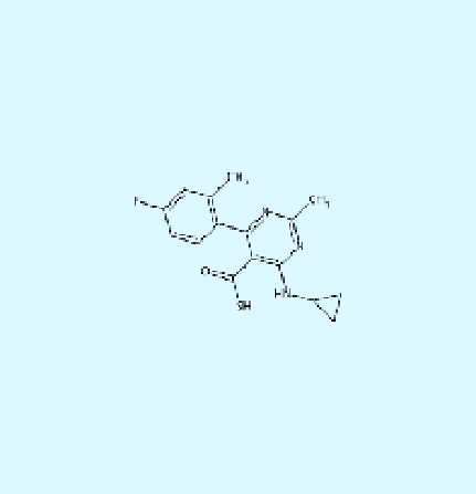 Cc1nc(NC2CC2)c(C(=O)S)c(-c2ccc(F)cc2C)n1